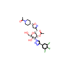 CC(=O)O[C@@H]1[C@@H](n2cc(-c3cc(F)c(F)c(F)c3)nn2)[C@@H](O)[C@@H](CO)O[C@@H]1CC1=NO[C@@H](C2CCN(C(C)=O)CC2)C1